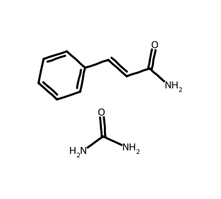 NC(=O)/C=C/c1ccccc1.NC(N)=O